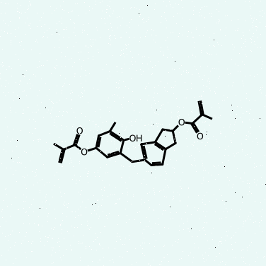 C=C(C)C(=O)Oc1cc(C)c(O)c(Cc2ccc3c(c2)CC(OC(=O)C(=C)C)C3)c1